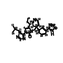 CCCc1cn(-c2ncnn2CC(C)C)c(=O)n1CC1(c2cccc(-c3nnn[nH]3)c2)C=CN=CC1